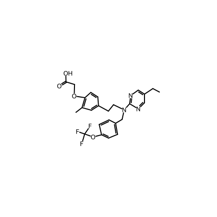 CCc1cnc(N(CCc2ccc(OCC(=O)O)c(C)c2)Cc2ccc(OC(F)(F)F)cc2)nc1